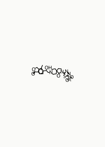 Cc1c([C@@H](O)CN2CCC3(CC2)CCN(c2nnc(S(C)(=O)=O)s2)C3=O)ccc2c1COC2=O